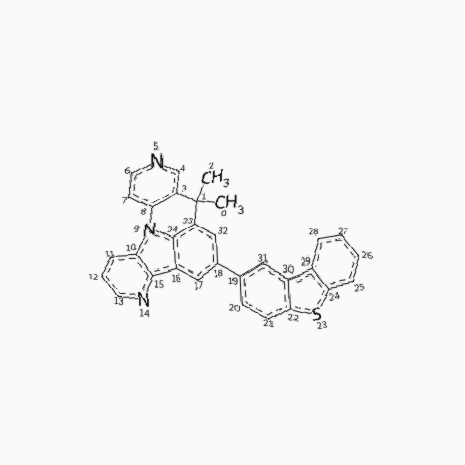 CC1(C)c2cnccc2-n2c3cccnc3c3cc(-c4ccc5sc6ccccc6c5c4)cc1c32